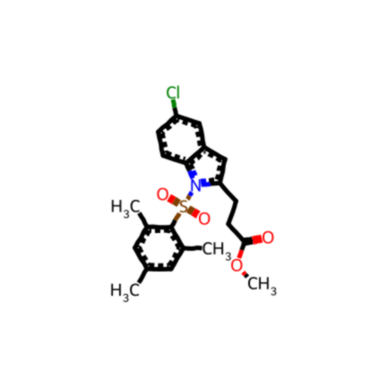 COC(=O)CCc1cc2cc(Cl)ccc2n1S(=O)(=O)c1c(C)cc(C)cc1C